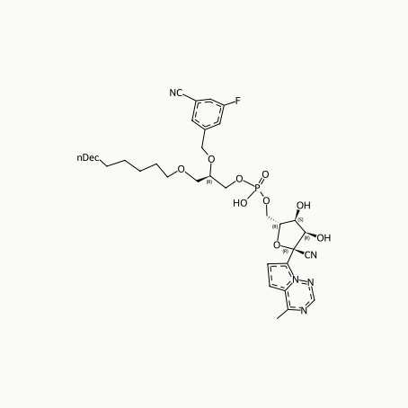 CCCCCCCCCCCCCCCOC[C@H](COP(=O)(O)OC[C@H]1O[C@@](C#N)(c2ccc3c(C)ncnn23)[C@H](O)[C@@H]1O)OCc1cc(F)cc(C#N)c1